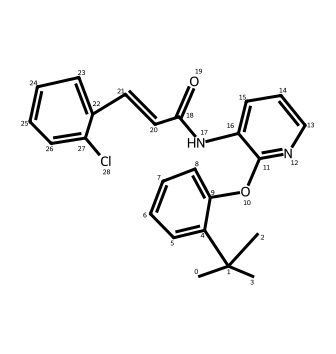 CC(C)(C)c1ccccc1Oc1ncccc1NC(=O)C=Cc1ccccc1Cl